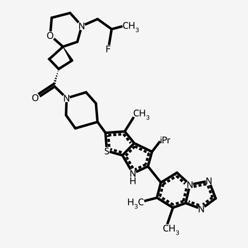 Cc1c(-c2[nH]c3sc(C4CCN(C(=O)[C@H]5C[C@@]6(CN(CC(C)F)CCO6)C5)CC4)c(C)c3c2C(C)C)cn2ncnc2c1C